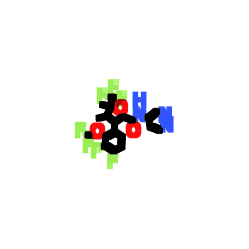 CC1C(c2ccc(F)c(F)c2OC(F)F)C(C(=O)Nc2ccnnc2)OC1(C)C(F)(F)F